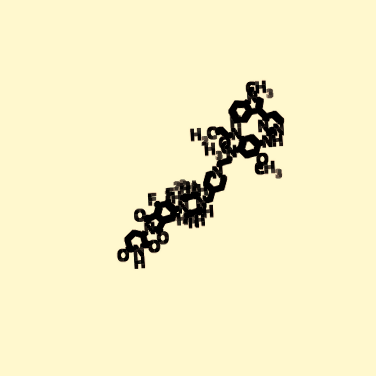 [2H]C1([2H])N(CC2CCN(CCN(C)c3cc(OC)c(Nc4nccc(-c5cn(C)c6ccccc56)n4)cc3NC(=O)C=C)CC2)C([2H])([2H])C([2H])([2H])N(c2cc3c(c(F)c2F)C(=O)N(C2CCC(=O)NC2=O)C3=O)C1([2H])[2H]